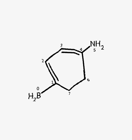 BC1=CC=C(N)CC1